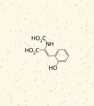 O=C(O)NC(=Cc1ccccc1O)C(=O)O